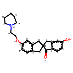 O=C1c2ccc(O)cc2CC12Cc1ccc(OCCN3CCCCC3)cc1C2